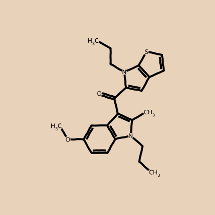 CCCn1c(C)c(C(=O)c2cc3ccsc3n2CCC)c2cc(OC)ccc21